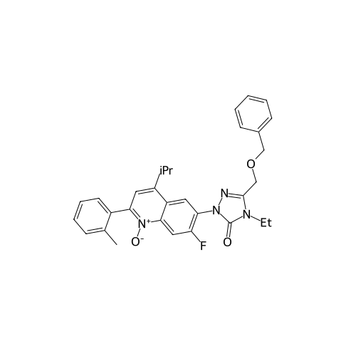 CCn1c(COCc2ccccc2)nn(-c2cc3c(C(C)C)cc(-c4ccccc4C)[n+]([O-])c3cc2F)c1=O